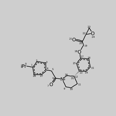 CC(C)c1ccc(CC(=O)N2CCC[C@@H](c3cccc(OCC(=O)C4CO4)c3)C2)cc1